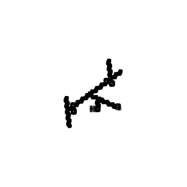 CCCCCCC(CCCC)C(=O)OCCCCCCN(CCCCCCOC(=O)C(CCCC)CCCCCC)CCN(CCO)CCCCCCOC